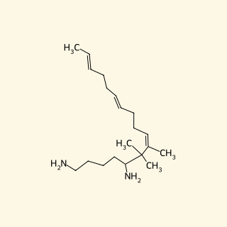 CC=CCCC=CCCC=C(C)C(C)(C)C(N)CCCCN